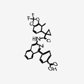 CC1C2=C(C=CC1C1(C(=O)Nc3cc4ccccc4c(-c4ccc(C(=O)O)cc4)n3)CC1)OC(F)(F)O2